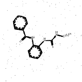 CCOC(=O)NC(=S)Nc1ccccc1NC(=O)c1ccccc1